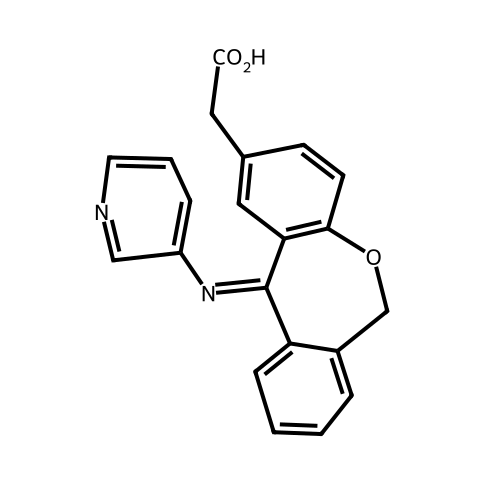 O=C(O)Cc1ccc2c(c1)C(=Nc1cccnc1)c1ccccc1CO2